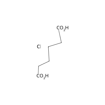 O=C(O)CCCCC(=O)O.[C]